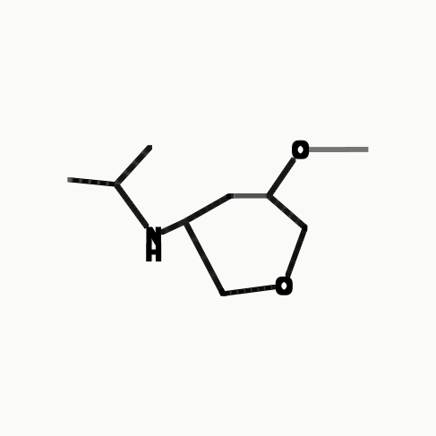 COC1COCC(NC(C)C)C1